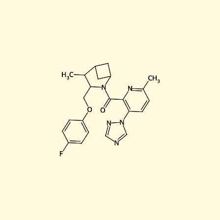 Cc1ccc(-n2cncn2)c(C(=O)N2C3CC(C3)C(C)C2COc2ccc(F)cc2)n1